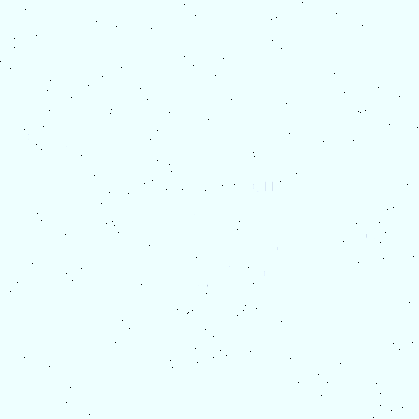 COC1CCC2(CC1)OC(=O)C(c1cc(C)c(-c3ccc(Cl)cc3)cc1C)=C2O